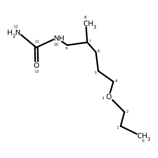 CCCOCCCC(C)CNC(N)=O